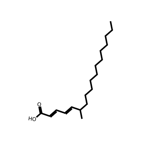 CCCCCCCCCCCCC(C)C=CC=CC(=O)O